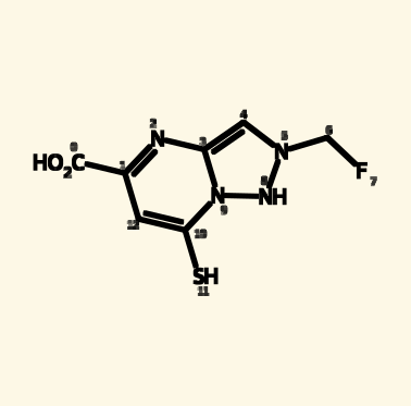 O=C(O)C1=NC2=CN(CF)NN2C(S)=C1